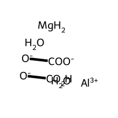 O.O.O=C([O-])O.O=C([O-])[O-].[Al+3].[MgH2]